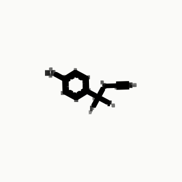 Cc1ccc(C(F)(F)SC#N)cc1